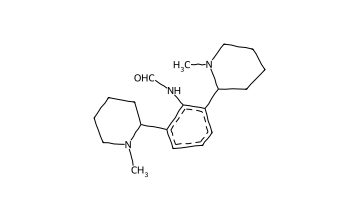 CN1CCCCC1c1cccc(C2CCCCN2C)c1NC=O